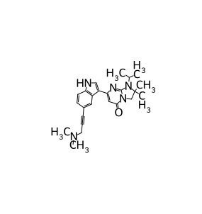 CC(C)N1c2nc(-c3c[nH]c4ccc(C#CCN(C)C)cc34)cc(=O)n2CC1(C)C